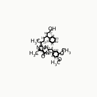 COc1ccc(Cc2nn3c(C(C)CCC(CCO)c4ccccc4)nc(C)c3c(=O)[nH]2)cc1OC